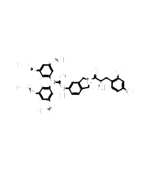 COc1cc(OC)cc(N(C(=O)Nc2ccc3c(c2)CN(C(=O)[C@H](N)Cc2ccc(Cl)cc2Cl)C3)c2cc(OC)cc(OC)c2)c1